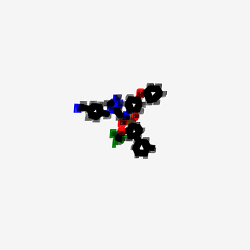 Cc1cccc(-c2ccc(S(=O)(=O)N(Cc3nncn3Cc3ccc(C#N)cc3)c3ccc(Oc4ccccc4)cc3)c(OC(F)(F)F)c2)c1